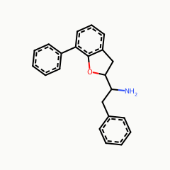 NC(Cc1ccccc1)C1Cc2cccc(-c3ccccc3)c2O1